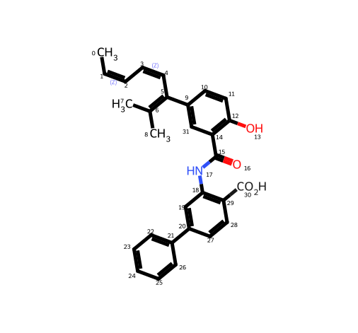 C/C=C\C=C/C(=C(C)C)c1ccc(O)c(C(=O)Nc2cc(-c3ccccc3)ccc2C(=O)O)c1